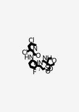 C[C@@]1(C2CC(NC(=O)c3ncc(Cl)cc3Cl)=CC=C2F)CS(=O)(=O)C2(CCOCC2)C(=N)N1